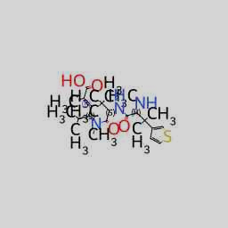 CN[C@@H](C(=O)N[C@H](C(=O)N(C)[C@H](/C=C(\C)C(=O)O)C(C)C)C(C)(C)C)C(C)(C)c1ccsc1